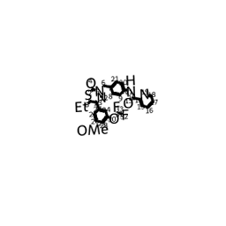 CCC1SC(=O)N(Cc2ccc(NC(=O)c3ccccn3)cc2)N=C1c1ccc(OC)c(OC(F)F)c1